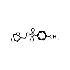 Cc1ccc(S(=O)(=O)OCC2COCO2)cc1